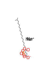 CC(C)CCCCCCCCCCCCCCCOC(=O)C(CC(=O)[O-])S(=O)(=O)[O-].[Na+].[Na+]